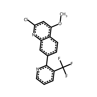 COc1cc(Cl)nc2cc(-c3ncccc3C(F)(F)F)ccc12